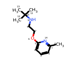 Cc1cccc(OCCNC(C)(C)C)n1